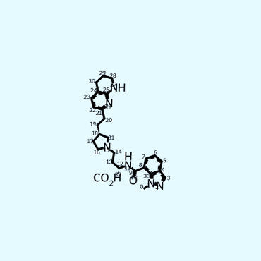 Cn1ncc2cccc(C(=O)N[C@@H](CCN3CC[C@@H](CCc4ccc5c(n4)NCCC5)C3)C(=O)O)c21